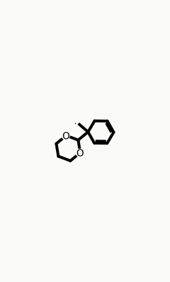 [CH2]C1(C2OCCCO2)C=CC=CC1